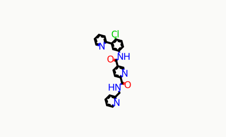 O=C(Nc1ccc(Cl)c(-c2ccccn2)c1)c1ccc(C(=O)NCc2ccccn2)nc1